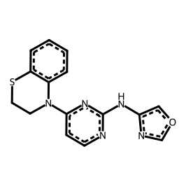 c1ccc2c(c1)SCCN2c1ccnc(Nc2cocn2)n1